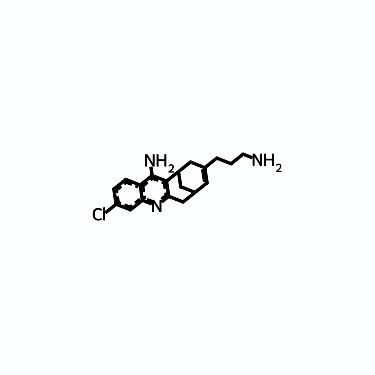 NCCCC1=CC2Cc3nc4cc(Cl)ccc4c(N)c3C(C1)C2